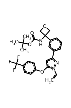 C=Cn1nc(-c2cccc(C3(NC(=O)OC(C)(C)C)COC3)c2)cc1Oc1ccc(C(F)(F)F)cc1